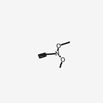 C#CN(OC)OC